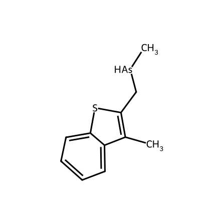 C[AsH]Cc1sc2ccccc2c1C